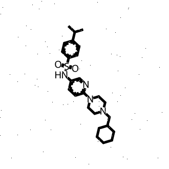 CC(C)c1ccc(S(=O)(=O)Nc2ccc(N3CCN(CC4CCCCC4)CC3)nc2)cc1